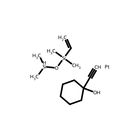 C#CC1(O)CCCCC1.C=C[Si](C)(C)O[SiH](C)C.[Pt]